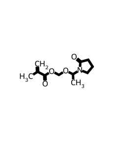 C=C(C)C(=O)OCOC(C)N1CCCC1=O